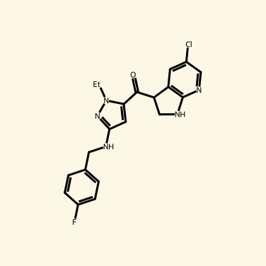 CCn1nc(NCc2ccc(F)cc2)cc1C(=O)C1CNc2ncc(Cl)cc21